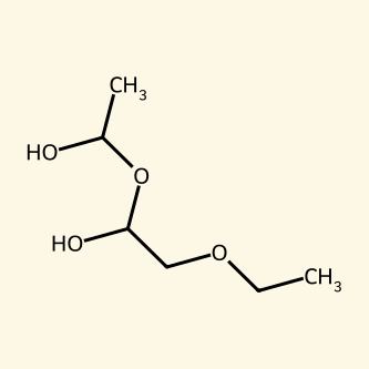 CCOCC(O)OC(C)O